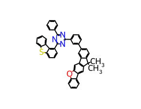 CC1(C)c2ccc(-c3cccc(-c4nc(-c5ccccc5)nc(-c5cccc6sc7ccccc7c56)n4)c3)cc2-c2cc3oc4ccccc4c3cc21